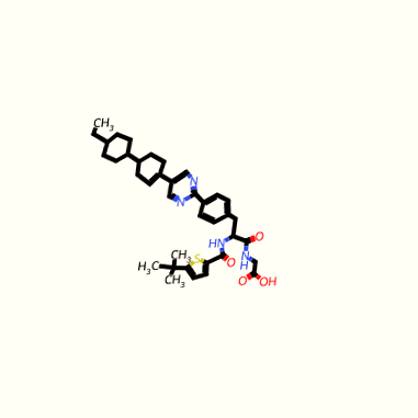 CCC1CCC(C2CC=C(c3cnc(-c4ccc(CC(NC(=O)c5ccc(C(C)(C)C)s5)C(=O)NCC(=O)O)cc4)nc3)CC2)CC1